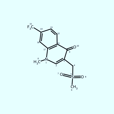 Cn1cc(CS(C)(=O)=O)c(=O)c2ccc(C(F)(F)F)cc21